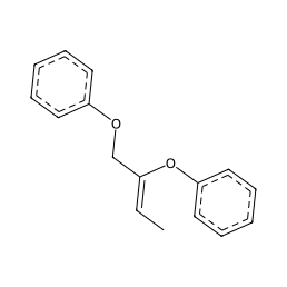 CC=C(COc1ccccc1)Oc1ccccc1